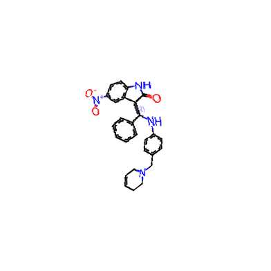 O=C1Nc2ccc([N+](=O)[O-])cc2/C1=C(/Nc1ccc(CN2CC=CCC2)cc1)c1ccccc1